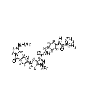 CC(=O)N[C@H]1CCN(C(=O)c2ccc(N3CCc4c(c(C(=O)NCc5ccc(NC(=O)N(C)C)cc5)nn4C(C)C)C3)nc2)C1